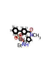 CCNC(=O)[C@H]1CC[C@@H](N(C)C(=O)c2ccc(-c3ccccc3S(C)(=O)=O)cc2)C1